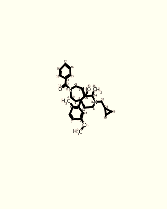 COc1ccc(C)c(C23CCN(C(=O)c4ccccc4)CCC2(O)C(C)N(CC2CC2)CC3)c1